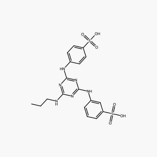 CCCNc1nc(Nc2ccc(S(=O)(=O)O)cc2)nc(Nc2cccc(S(=O)(=O)O)c2)n1